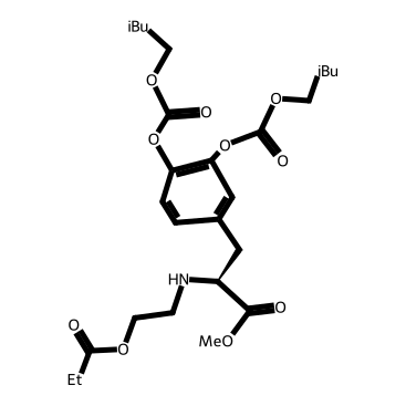 CCC(=O)OCCN[C@@H](Cc1ccc(OC(=O)OCC(C)CC)c(OC(=O)OCC(C)CC)c1)C(=O)OC